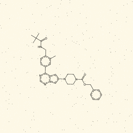 Cc1cc(-c2ncnn3cc(N4CCN(C(=O)OCc5ccccc5)CC4)cc23)ccc1CNC(=O)C(C)(C)C